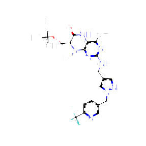 Cc1nc(NCc2cnn(Cc3ccc(C(F)(F)F)nc3)c2)nc2c1NC(=O)[C@H](COC(C)(C)C)N2C